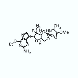 CCOc1nc(N)nc2c1ncn2[C@@H]1O[C@@H]2CO[P@@](=O)(N[C@@H](C)C(=O)OC)O[C@H]2[C@@]1(C)F